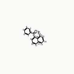 [O-][S+](c1ccccc1)c1cccc2cccc(F)c12